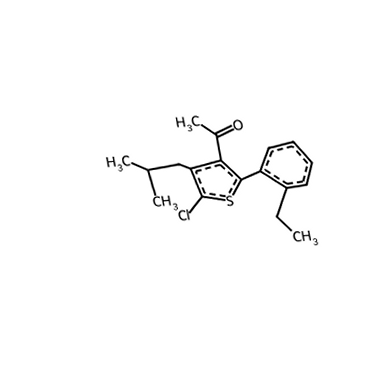 CCc1ccccc1-c1sc(Cl)c(CC(C)C)c1C(C)=O